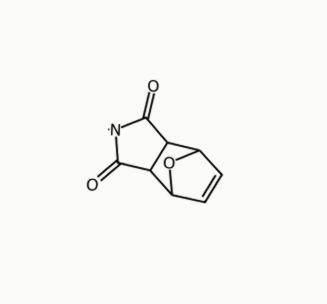 O=C1[N]C(=O)C2C3C=CC(O3)C12